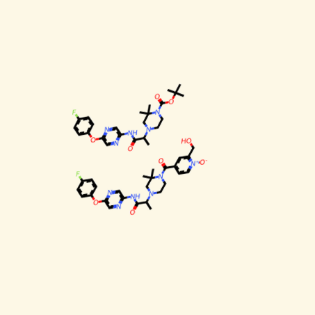 CC(C(=O)Nc1cnc(Oc2ccc(F)cc2)cn1)N1CCN(C(=O)OC(C)(C)C)C(C)(C)C1.CC(C(=O)Nc1cnc(Oc2ccc(F)cc2)cn1)N1CCN(C(=O)c2cc[n+]([O-])c(CO)c2)C(C)(C)C1